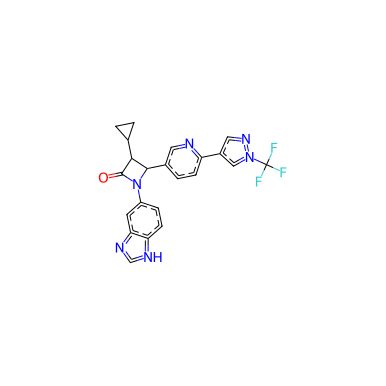 O=C1C(C2CC2)C(c2ccc(-c3cnn(C(F)(F)F)c3)nc2)N1c1ccc2[nH]cnc2c1